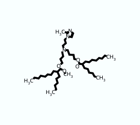 CCCCCCCCC(CCCCCC)C(=O)OCCCCN(CCCCOC(OC)C(CCCCCC)CCCCCCCC)CCCn1ccnc1C